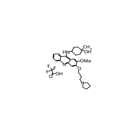 COc1cc2c(NC3CCC(C)(O)CC3)c3ccccc3nc2cc1OCCCN1CCCC1.O=C(O)C(F)(F)F